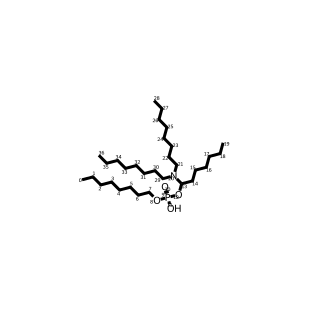 CCCCCCCCOP(=O)(O)OC(CCCCCC)N(CCCCCCCC)CCCCCCCC